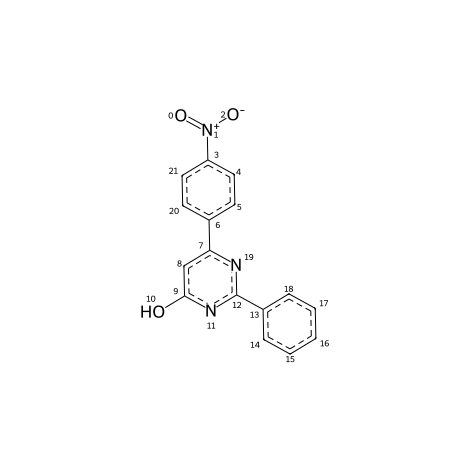 O=[N+]([O-])c1ccc(-c2cc(O)nc(-c3ccccc3)n2)cc1